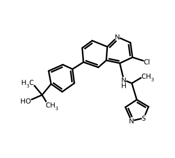 CC(Nc1c(Cl)cnc2ccc(-c3ccc(C(C)(C)O)cc3)cc12)c1cnsc1